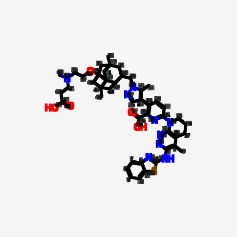 Cc1c(Nc2nc3ccccc3s2)nnc2c1CCCN2c1ccc(-c2cnn(CC34CC5(C)CC6(OCCN(C)CCC(=O)O)CC(C)(C3)C6(C5)C4)c2C)c(C(=O)O)n1